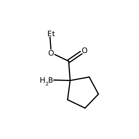 BC1(C(=O)OCC)CCCC1